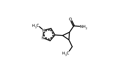 CCC1C(C(N)=O)C1c1cnn(C)c1